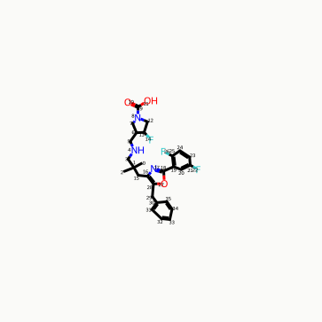 CC(C)(CNCC1CN(C(=O)O)CC1F)Cc1nc(-c2cc(F)ccc2F)oc1Cc1ccccc1